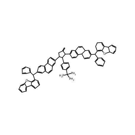 C=C1CC(c2ccc3c(ccc4cc(C(c5ccccc5)c5cccc6c5oc5ccccc56)ccc43)c2)C(c2ccc(C(P)(P)P)cc2)C1c1ccc2c(c1)C=CC1C=C(C(C3=C4OC5C=CC=CC5C4=CCC3)c3ccccc3)C=CC21